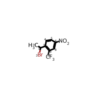 CC(Br)c1ccc([N+](=O)[O-])cc1C(F)(F)F